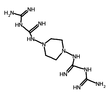 N=C(N)NC(=N)NN1CCN(NC(=N)NC(=N)N)CC1